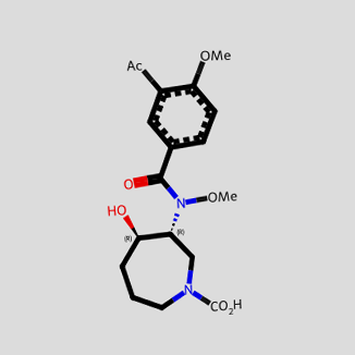 COc1ccc(C(=O)N(OC)[C@@H]2CN(C(=O)O)CCC[C@H]2O)cc1C(C)=O